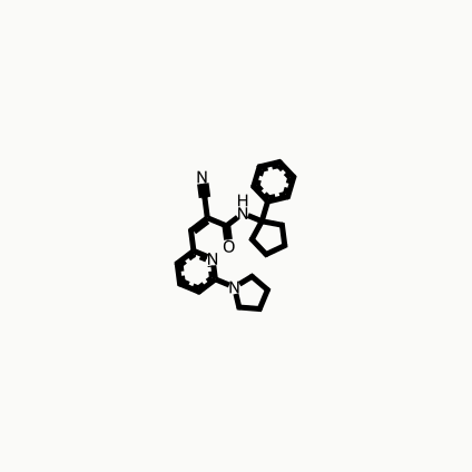 N#CC(=Cc1cccc(N2CCCC2)n1)C(=O)NC1(c2ccccc2)CCCC1